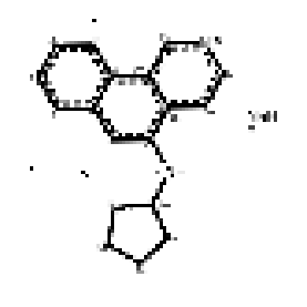 [NaH].c1ccc2c(c1)cc(NC1CCCC1)c1ccncc12